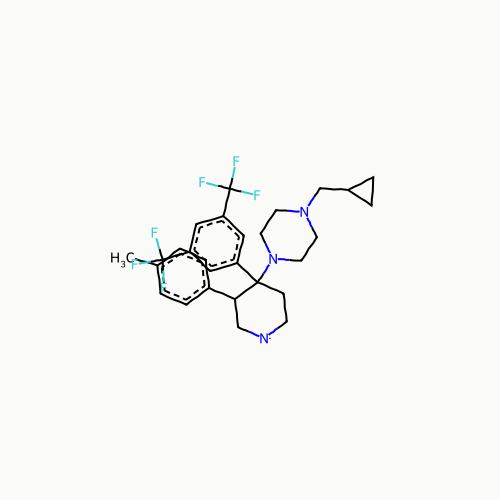 Cc1ccc(C2C[N]CCC2(c2cc(C(F)(F)F)cc(C(F)(F)F)c2)N2CCN(CC3CC3)CC2)cc1